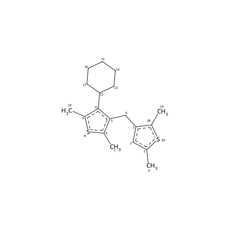 Cc1cc(Cc2c(C)sc(C)c2C2CCCCC2)c(C)s1